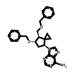 Nc1ncnc2c1ncn2[C@H]1C[C@H](OCc2ccccc2)[C@@H](COCc2ccccc2)C12CC2